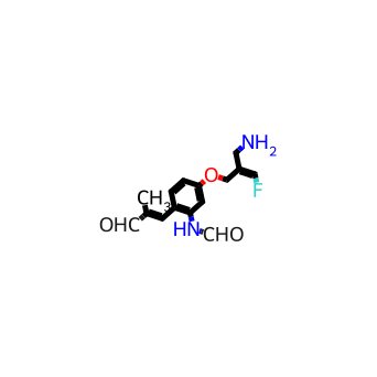 C/C(C=O)=C\c1ccc(OC/C(=C\F)CN)cc1NC=O